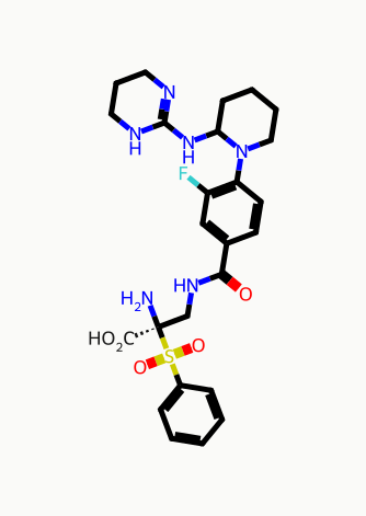 N[C@](CNC(=O)c1ccc(N2CCCCC2NC2=NCCCN2)c(F)c1)(C(=O)O)S(=O)(=O)c1ccccc1